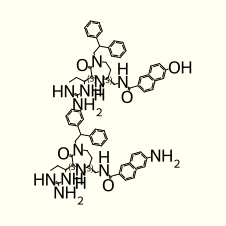 CCC(NC(=N)N)[C@@H]1N[C@H](CNC(=O)c2ccc3cc(N)ccc3c2)CCN(CC(c2ccccc2)c2ccccc2)C1=O.CCC(NC(=N)N)[C@@H]1N[C@H](CNC(=O)c2ccc3cc(O)ccc3c2)CCN(CC(c2ccccc2)c2ccccc2)C1=O